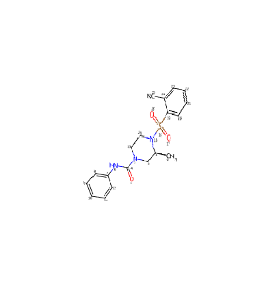 C[C@H]1CN(C(=O)Nc2ccccc2)CCN1S(=O)(=O)c1ccccc1C#N